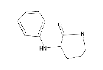 O=C1[N]CCCC1Nc1ccccc1